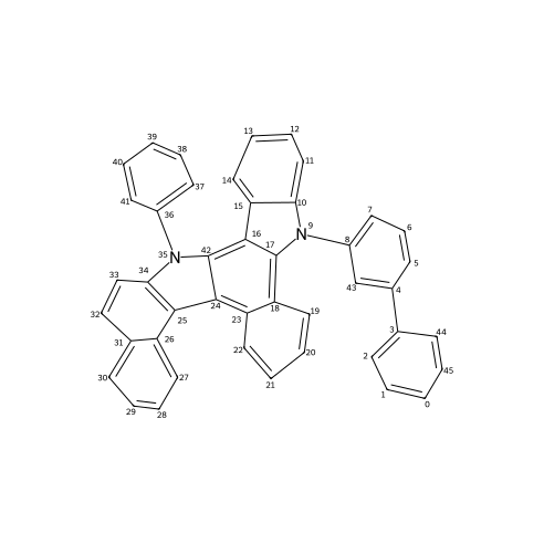 c1ccc(-c2cccc(-n3c4ccccc4c4c3c3ccccc3c3c5c6ccccc6ccc5n(-c5ccccc5)c34)c2)cc1